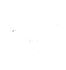 CCC[C@H]1OCCc2c1[nH]c1c(C)ccc(C#N)c21